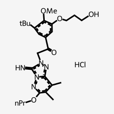 CCCOc1nn2c(=N)n(CC(=O)c3cc(OCCCO)c(OC)c(C(C)(C)C)c3)nc2c(C)c1C.Cl